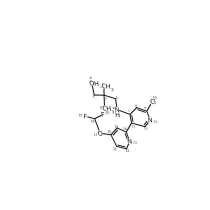 CC(C)(CO)CNc1cc(Cl)ncc1-c1cc(OC(F)F)ccn1